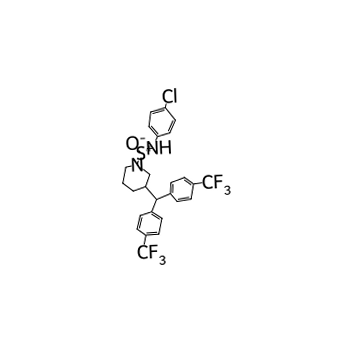 [O-][S+](Nc1ccc(Cl)cc1)N1CCCC(C(c2ccc(C(F)(F)F)cc2)c2ccc(C(F)(F)F)cc2)C1